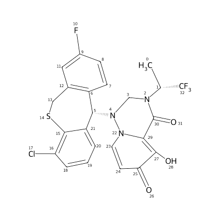 C[C@@H](N1CN([C@H]2c3ccc(F)cc3CSc3c(Cl)cccc32)n2ccc(=O)c(O)c2C1=O)C(F)(F)F